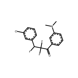 CN(C)c1cccc(C(=O)C(F)(F)C(F)c2cccc(Cl)c2)c1